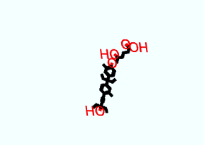 CCC(O)(C#Cc1ccc(C(CC)(CC)c2ccc(OCC(O)CCCC(=O)O)c(C)c2)cc1C)CC